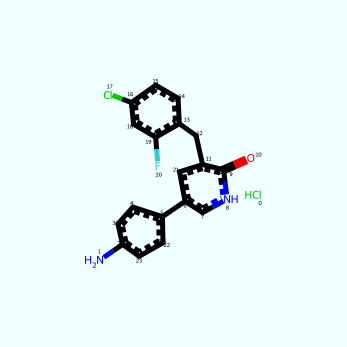 Cl.Nc1ccc(-c2c[nH]c(=O)c(Cc3ccc(Cl)cc3F)c2)cc1